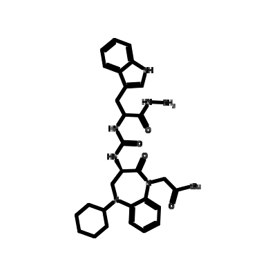 BNC(=O)C(Cc1c[nH]c2ccccc12)NC(=O)N[C@@H]1CN(C2CCCCC2)c2ccccc2N(CC(=O)C(C)(C)C)C1=O